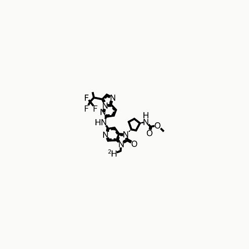 [2H]Cn1c(=O)n([C@@H]2CC[C@@H](NC(=O)OC)C2)c2cc(Nc3ccc4ncc(C(C)C(F)(F)F)n4n3)ncc21